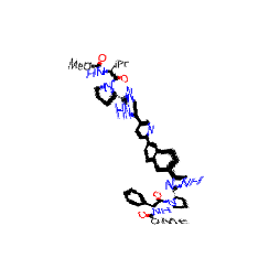 COC(=O)N[C@H](C(=O)N1CCC[C@H]1c1ncc(-c2ccc(-c3ccc4cc(-c5c[nH]c([C@@H]6CCCN6C(=O)[C@H](NC(=O)OC)c6ccccc6)n5)ccc4c3)nc2)[nH]1)C(C)C